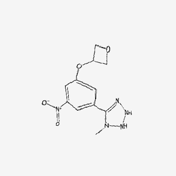 CN1NNN=C1c1cc(OC2COC2)cc([N+](=O)[O-])c1